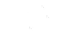 FC(F)(F)Cc1cnc2c(Cl)c(N3CCC(c4ccccc4)CC3)ccn12